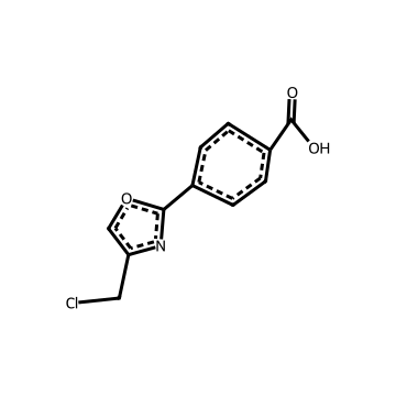 O=C(O)c1ccc(-c2nc(CCl)co2)cc1